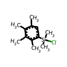 Cc1cc([Si](C)(C)Cl)c(C)c(C)c1C